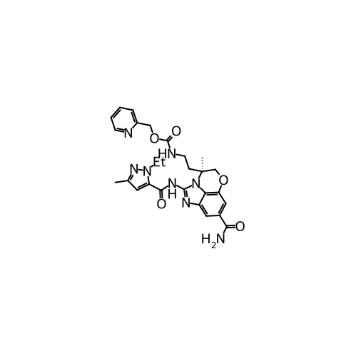 CCn1nc(C)cc1C(=O)Nc1nc2cc(C(N)=O)cc3c2n1[C@@](C)(CCNC(=O)OCc1ccccn1)CO3